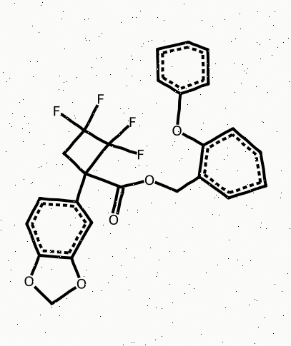 O=C(OCc1ccccc1Oc1ccccc1)C1(c2ccc3c(c2)OCO3)CC(F)(F)C1(F)F